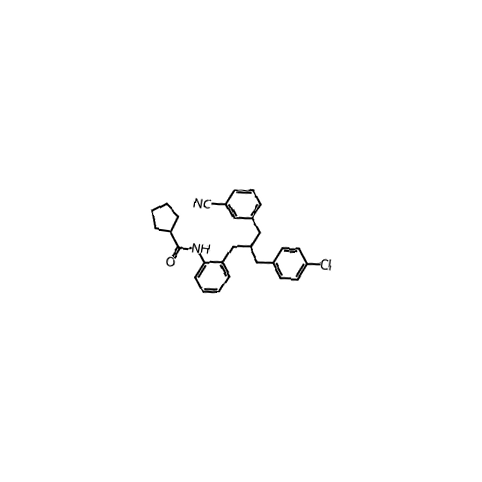 N#Cc1cccc(CC(Cc2ccc(Cl)cc2)Cc2ccccc2NC(=O)C2CCCC2)c1